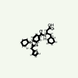 C[C@@H]1CCCC[C@H]1n1c(Cc2cccs2)nc2cc(C(=O)NC(CC(=O)O)CC3CCCCC3)ccc21